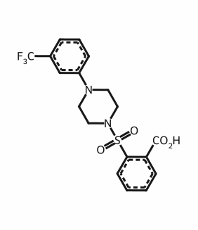 O=C(O)c1ccccc1S(=O)(=O)N1CCN(c2cccc(C(F)(F)F)c2)CC1